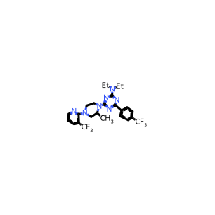 CCN(CC)c1nc(-c2ccc(C(F)(F)F)cc2)nc(N2CCN(c3ncccc3C(F)(F)F)CC2C)n1